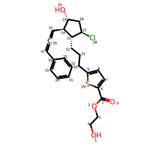 O=C(OCCO)c1ccc(CCC[C@@H]2[C@@H](C=C=Cc3ccccc3)[C@H](O)C[C@H]2Cl)s1